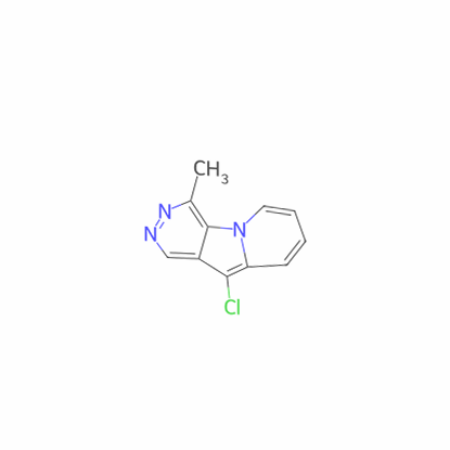 Cc1nncc2c(Cl)c3ccccn3c12